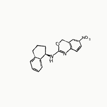 O=[N+]([O-])c1ccc2c(c1)COC(N[C@@H]1CCCc3ccccc31)=N2